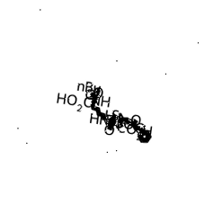 CCCCOC(=O)NC(CCCCN[C@@H]1C(=O)N2C(C(=O)O)=C(COC(=O)COc3ccccc3)CS[C@H]12)C(=O)O